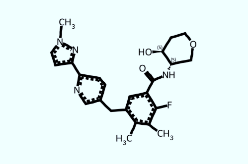 Cc1c(Cc2ccc(-c3ccn(C)n3)nc2)cc(C(=O)N[C@H]2COCC[C@@H]2O)c(F)c1C